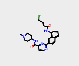 CN1CCC(NC(=O)c2ccnc(-c3ccc4cccc(NC(=O)/C=C/CBr)c4c3)n2)CC1